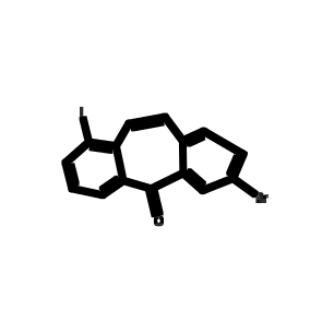 O=c1c2cc(Br)ccc2ccc2c(I)cccc12